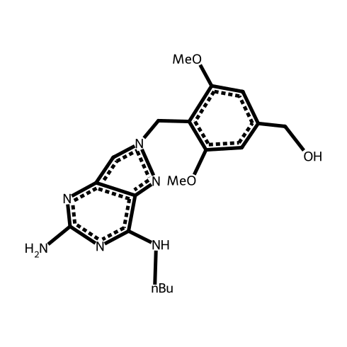 CCCCNc1nc(N)nc2cn(Cc3c(OC)cc(CO)cc3OC)nc12